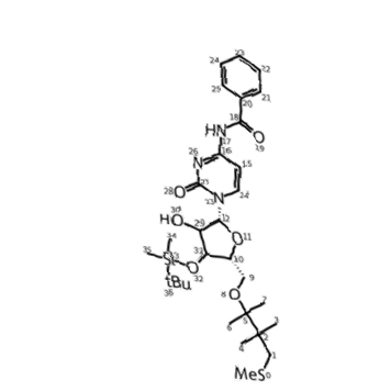 CSCC(C)(C)C(C)(C)OC[C@H]1O[C@@H](n2ccc(NC(=O)c3ccccc3)nc2=O)C(O)C1O[Si](C)(C)C(C)(C)C